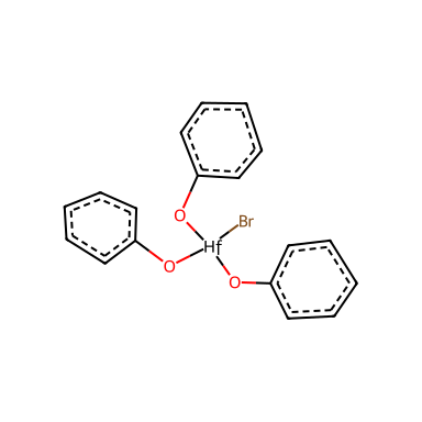 [Br][Hf]([O]c1ccccc1)([O]c1ccccc1)[O]c1ccccc1